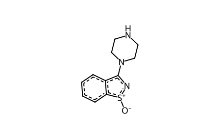 [O-][s+]1nc(N2CCNCC2)c2ccccc21